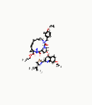 CCOC(=O)C12CC1/C=C\CCCCN(Cc1ccc(OC)cc1)C(=O)N1CC(Oc3cc(-c4nc(C(C)C)cs4)nc4cc(OC)ccc34)CC1C(=O)N2